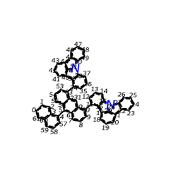 c1ccc2c(-c3c4cccc(-c5cccc6c5c5cccc7c8ccccc8n6c75)c4cc4c(-c5cccc6c5c5cccc7c8ccccc8n6c75)cccc34)cccc2c1